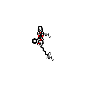 NC(=O)CCCCCN1CCC(c2cnc(N3C4CCC3CN(c3cc(-c5ccccc5O)nnc3N)C4)nc2)CC1